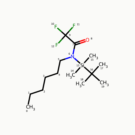 CCCCCCN(C(=O)C(F)(F)F)[Si](C)(C)C(C)(C)C